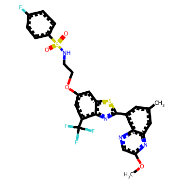 COc1cnc2c(-c3nc4c(C(F)(F)F)cc(OCCNS(=O)(=O)c5ccc(F)cc5)cc4s3)cc(C)cc2n1